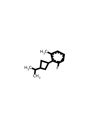 Cc1cccc(F)c1C1CC(C(C)C)C1